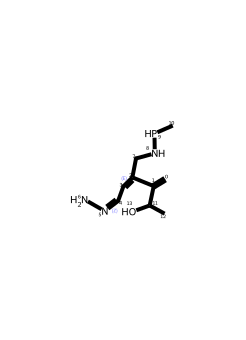 C=C(/C(=C\C=N/N)CNPC)C(C)O